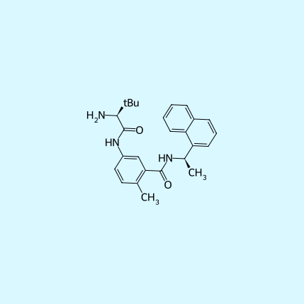 Cc1ccc(NC(=O)[C@@H](N)C(C)(C)C)cc1C(=O)N[C@H](C)c1cccc2ccccc12